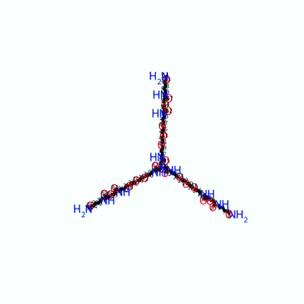 NOCCCCNC(=O)COCC(=O)NCCCOCCOCCOCCCNC(=O)CN(CC(=O)NCCCOCCOCCOCCCNC(=O)COCC(=O)NCCCCON)CC(=O)NCCCOCCOCCOCCCNC(=O)COCC(=O)NCCCCON